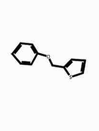 [c]1ccc(OCc2cccs2)cc1